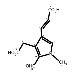 Cn1cc(/C=C/C(=O)O)c(CC(=O)O)c1C=O